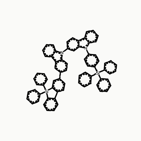 c1ccc([Si](c2ccccc2)(c2ccccc2)c2ccc(-n3c4ccccc4c4ccc(-n5c6ccccc6c6cc(-c7ccc8c(c7)[Si](c7ccccc7)(c7ccccc7)c7ccccc7-8)ccc65)cc43)cc2)cc1